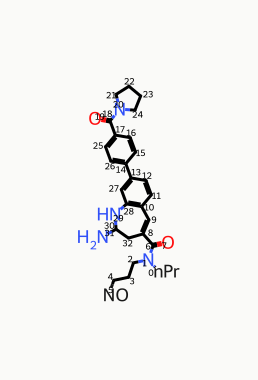 CCCN(CCCN=O)C(=O)C1=Cc2ccc(-c3ccc(C(=O)N4CCCC4)cc3)cc2NC(N)C1